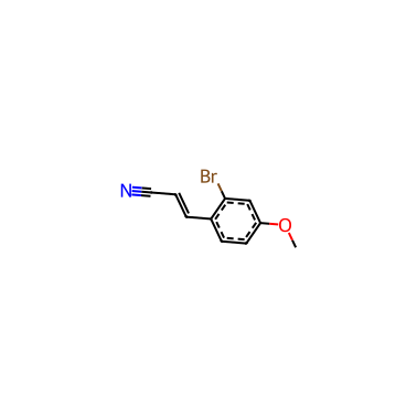 COc1ccc(C=CC#N)c(Br)c1